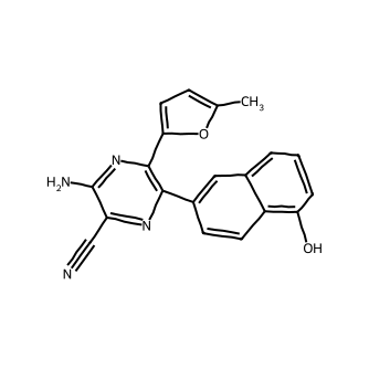 Cc1ccc(-c2nc(N)c(C#N)nc2-c2ccc3c(O)cccc3c2)o1